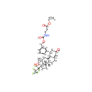 CCOC(=O)CCNC(=O)OCc1ccc([C@H]2C[C@@]3(C)[C@@H](CC[C@@]3(O)C(F)(F)C(F)(F)F)[C@@H]3CCC4=CC(=O)CCC4=C32)cc1